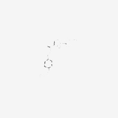 CC(C)(C)OC(=O)C1CC=C(C(=O)OCc2ccc(OC(F)(F)F)cc2)N1